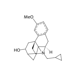 COc1ccc2c(c1)[C@]13CCN(CC4CC4)[C@H](C2)C1(C)C1CC1C(O)C3